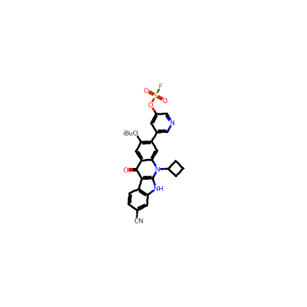 CC(C)COc1cc2c(=O)c3c4ccc(C#N)cc4[nH]c3n(C3CCC3)c2cc1-c1cncc(OS(=O)(=O)F)c1